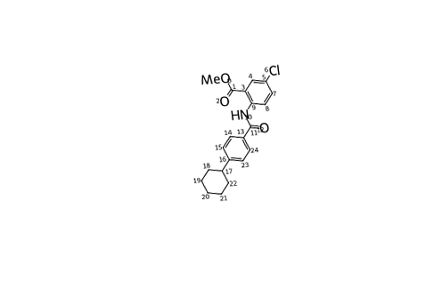 COC(=O)c1cc(Cl)ccc1NC(=O)c1ccc(C2CCCCC2)cc1